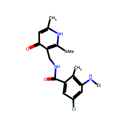 CCNc1cc(Cl)cc(C(=O)NCc2c(NC)[nH]c(C)cc2=O)c1C